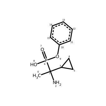 CC(N)(C1CC1)P(=O)(O)Oc1ccccc1